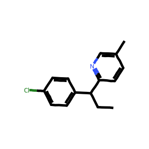 CCC(c1ccc(Cl)cc1)c1ccc(C)cn1